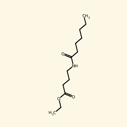 CCCCCCC(=O)NCCCC(=O)OCC